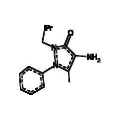 Cc1c(N)c(=O)n(CC(C)C)n1-c1ccccc1